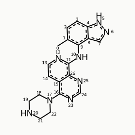 Cc1ccc2[nH]ncc2c1Nc1nccc2c(N3CCNCC3)ncnc12